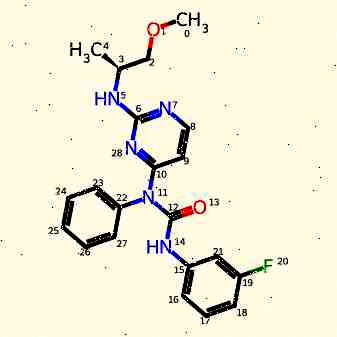 COC[C@H](C)Nc1nccc(N(C(=O)Nc2cccc(F)c2)c2ccccc2)n1